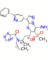 C/C=C\N(C(=O)c1nnc[nH]1)[C@H](C)C[C@@H](O)c1nc2c(-c3ccc(-c4ccccc4)nc3)cnn2c(N)c1S(C)(=O)=O